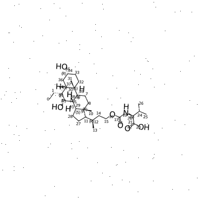 CC[C@H]1[C@@H](O)[C@@H]2[C@H](CC[C@]3(C)C([C@H](C)CCOC(=O)N[C@H](C(=O)O)C(C)C)CC[C@@H]23)[C@@]2(C)CC[C@@H](O)C[C@@H]12